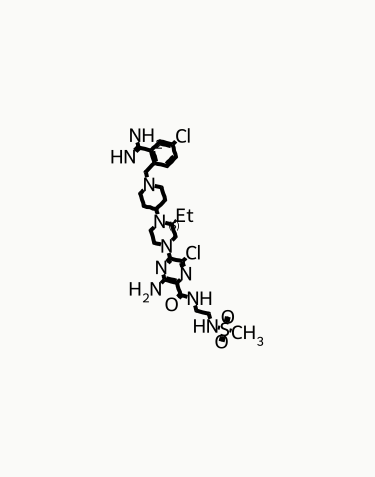 CC[C@H]1CN(c2nc(N)c(C(=O)NCCNS(C)(=O)=O)nc2Cl)CCN1C1CCN(Cc2ccc(Cl)cc2C(=N)N)CC1